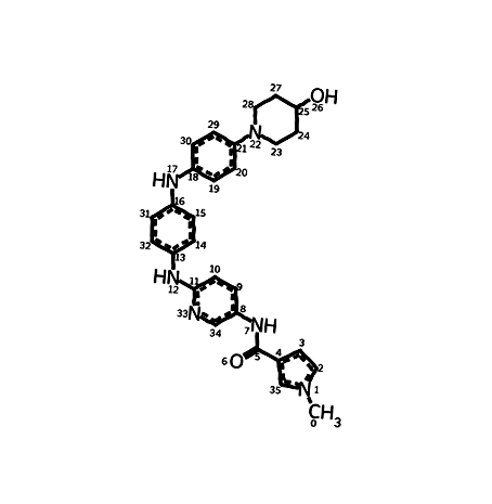 Cn1ccc(C(=O)Nc2ccc(Nc3ccc(Nc4ccc(N5CCC(O)CC5)cc4)cc3)nc2)c1